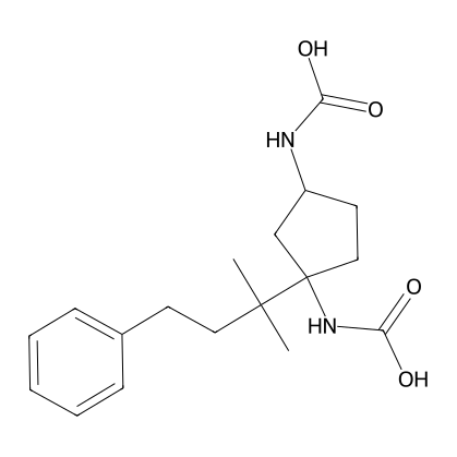 CC(C)(CCc1ccccc1)C1(NC(=O)O)CCC(NC(=O)O)C1